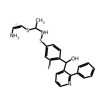 CC(NSc1ccc(C(O)c2cccnc2-c2ccccc2)c(F)c1)S/C=C\N